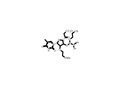 CCOC(=O)CC(=O)[C@H]1O[C@@H](n2cc(C)c(=O)[nH]c2=O)C(OCCOC)C1OP(OCCC#N)N(C(C)C)C(C)C